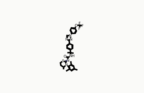 Cc1cc(C)c(N2/C(=N/C(=O)NC(C)(C)c3ccc(-c4ncn(-c5ccc(OC(F)(F)F)cc5)n4)cc3)SCCC2C)c(C)c1